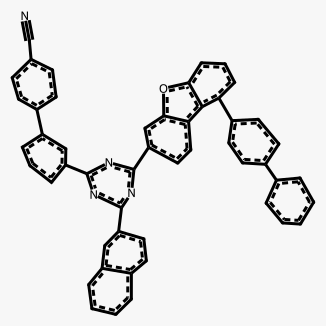 N#Cc1ccc(-c2cccc(-c3nc(-c4ccc5ccccc5c4)nc(-c4ccc5c(c4)oc4cccc(-c6ccc(-c7ccccc7)cc6)c45)n3)c2)cc1